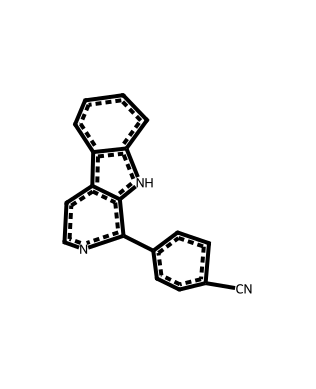 N#Cc1ccc(-c2nccc3c2[nH]c2ccccc23)cc1